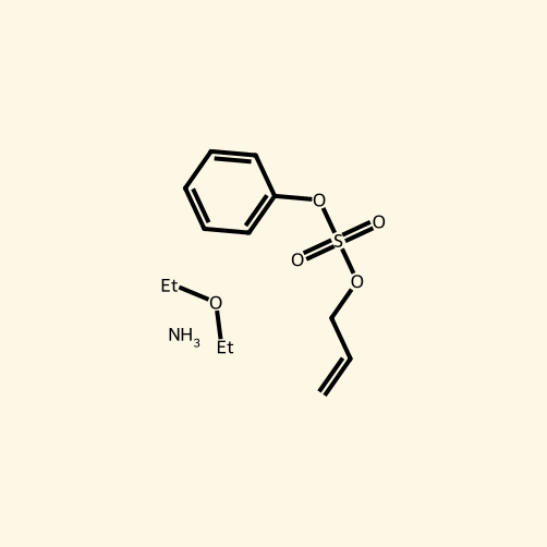 C=CCOS(=O)(=O)Oc1ccccc1.CCOCC.N